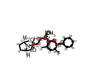 CN(CCS(=O)(=O)N1[C@@H]2CC[C@H]1C[C@H]([C@@H](Cc1cc(F)c(F)cc1F)N[S+]([O-])C(C)(C)C)C2)C(=O)OCc1ccccc1